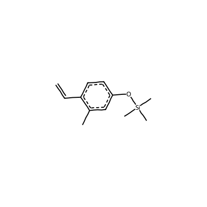 C=Cc1ccc(O[Si](C)(C)C)cc1C